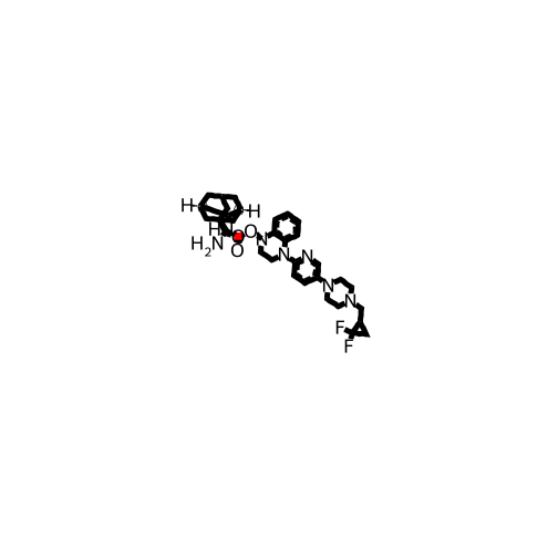 NC(=O)C12CC3C[C@H](C1)C(NC(=O)ON1CCN(c4ccc(N5CCN(CC6CC6(F)F)CC5)cn4)c4ccccc41)[C@@H](C3)C2